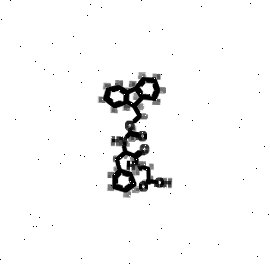 O=C(O)CNC(=O)C(Cc1ccccc1)NC(=O)OCC1c2ccccc2-c2ccccc21